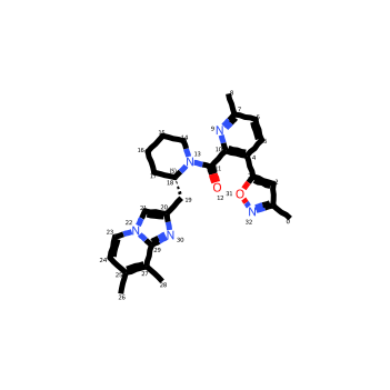 Cc1cc(-c2ccc(C)nc2C(=O)N2CCCC[C@H]2Cc2cn3ccc(C)c(C)c3n2)on1